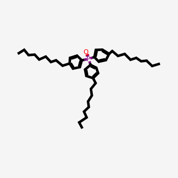 CCCCCCCCCc1ccc(P(=O)(c2ccc(CCCCCCCCC)cc2)c2ccc(CCCCCCCCC)cc2)cc1